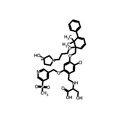 CC1(C)C(c2ccccc2)=CC=CC1(COc1cc(OCc2cncc(S(C)(=O)=O)c2)c(CNC(CO)C(=O)O)cc1Cl)OCCCN1CC[C@@H](O)C1